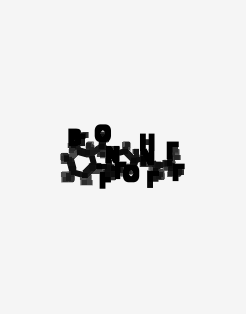 O=C(CN1C(=O)c2c(Br)cccc2C1(F)F)NC(F)C(F)F